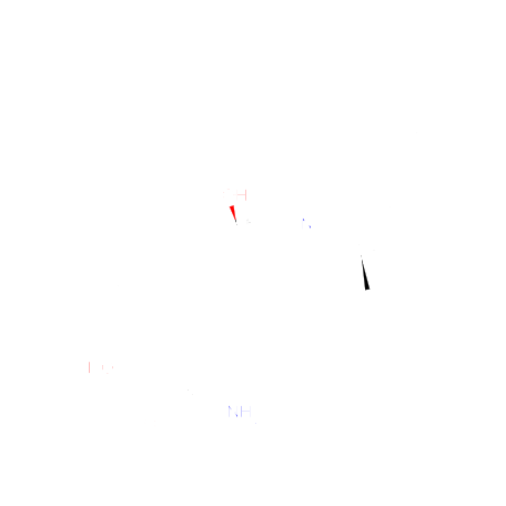 C[C@H](Cc1ccccc1)NC[C@H](O)c1ccc(O)c(C(N)=O)c1